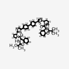 CC(C)C(=O)N[C@H](C(=O)N1CCC[C@H]1c1ncc(-c2ccc(-c3ccc(-c4cnc([C@@H]5CCCN5C(=O)[C@H](NC(=O)C(C)C)c5ccccc5)s4)cc3)cc2)s1)c1ccccc1